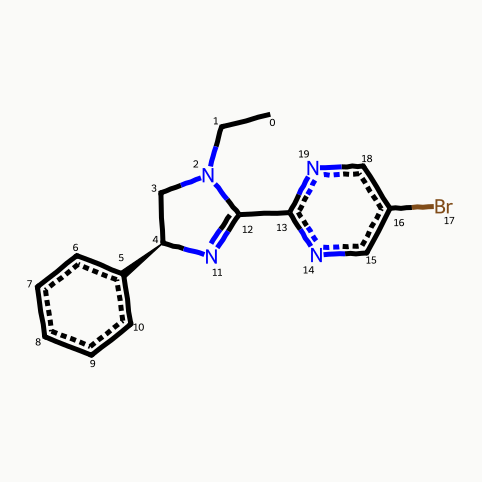 CCN1C[C@H](c2ccccc2)N=C1c1ncc(Br)cn1